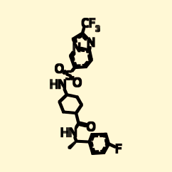 C[C@@H](NC(=O)C1CCC(NS(=O)(=O)c2ccc3nc(C(F)(F)F)cn3c2)CC1)c1ccc(F)cc1